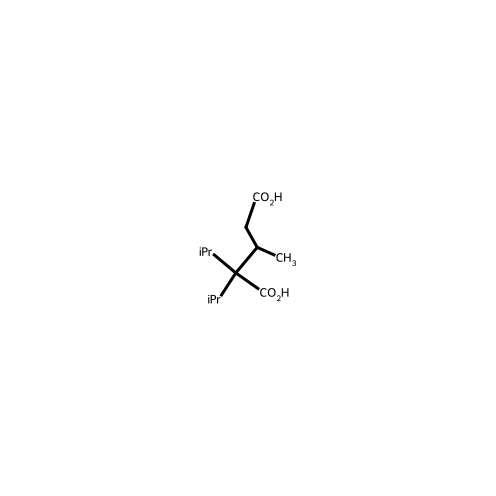 CC(C)C(C(=O)O)(C(C)C)C(C)CC(=O)O